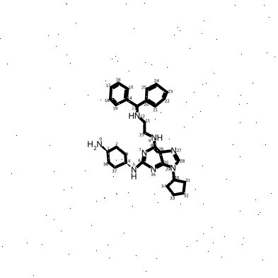 N[C@H]1CC[C@H](Nc2nc(NCCNC(c3ccccc3)c3ccccc3)c3ncn(C4CCCC4)c3n2)CC1